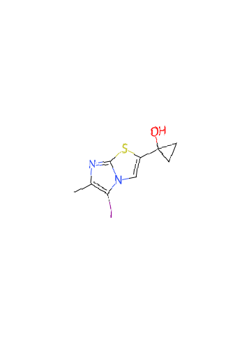 Cc1nc2sc(C3(O)CC3)cn2c1I